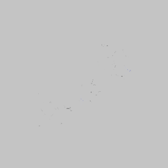 COc1ccc2nccc(C(F)CC[C@@H]3CCN(CC#Cc4cc(F)cc(F)c4F)C[C@@H]3C(=O)O)c2c1